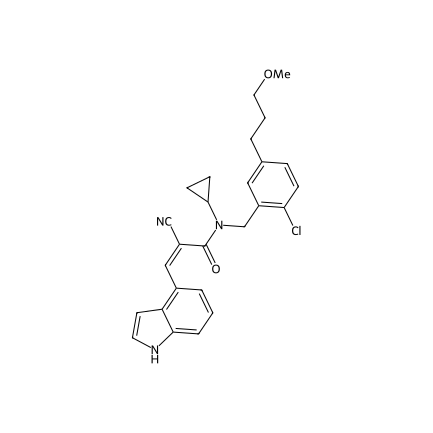 COCCCc1ccc(Cl)c(CN(C(=O)C(C#N)=Cc2cccc3[nH]ccc23)C2CC2)c1